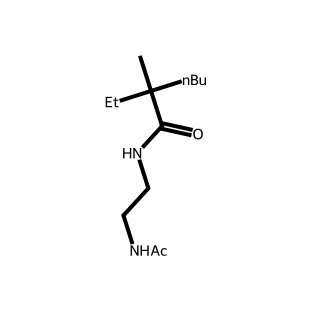 CCCCC(C)(CC)C(=O)NCCNC(C)=O